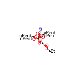 CC/C=C\CCCOC(=O)CCCCC(=O)OCC(COC(=O)CCCN(C)C)(COC(=O)CC(CCCCC)CCCCC)COC(=O)CC(CCCCC)CCCCC